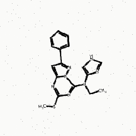 CCN(c1c[nH]cn1)c1nc(SC)nc2cc(-c3ccccc3)nn12